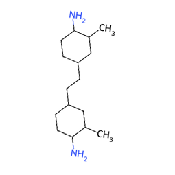 CC1CC(CCC2CCC(N)C(C)C2)CCC1N